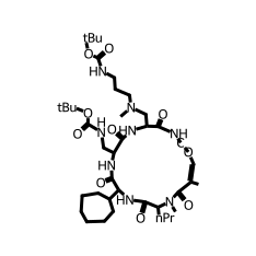 CCCC1C(=O)NC(C2CCCCCC2)C(=O)NC(CNC(=O)OC(C)(C)C)C(=O)NC(CN(C)CCCNC(=O)OC(C)(C)C)C(=O)NCO/C=C(/C)C(=O)N1C